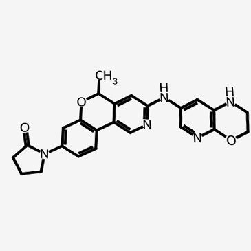 CC1Oc2cc(N3CCCC3=O)ccc2-c2cnc(Nc3cnc4c(c3)NCCO4)cc21